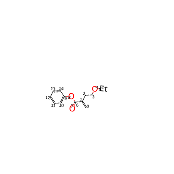 C=C(CCOCC)C(=O)Oc1ccccc1